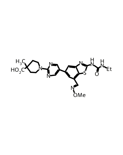 CCNC(=O)Nc1nc2cc(-c3cnc(N4CCC(C)(C(=O)O)CC4)nc3)cc(C=NOC)c2s1